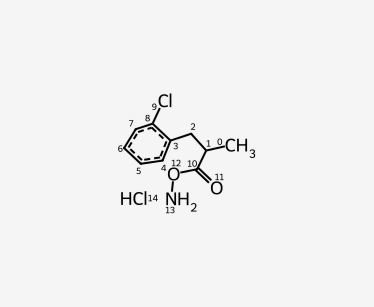 CC(Cc1ccccc1Cl)C(=O)ON.Cl